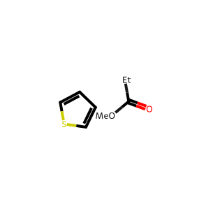 CCC(=O)OC.c1ccsc1